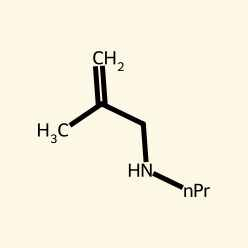 C=C(C)CNCCC